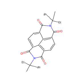 CCC(C)(C(C)C)N1C(=O)c2ccc3c4c(ccc(c24)C1=O)C(=O)N(C(C)(CC)C(C)C)C3=O